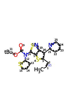 C/C=C\c1sc2c(N(C(=O)OC(C)(C)C)c3cccs3)snc2c1-c1ccccn1